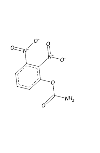 NC(=O)Oc1cccc([N+](=O)[O-])c1[N+](=O)[O-]